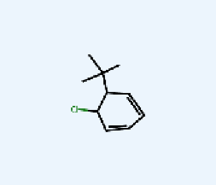 CC(C)(C)C1C=CC=CC1Cl